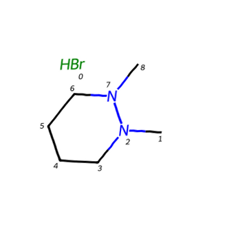 Br.CN1CCCCN1C